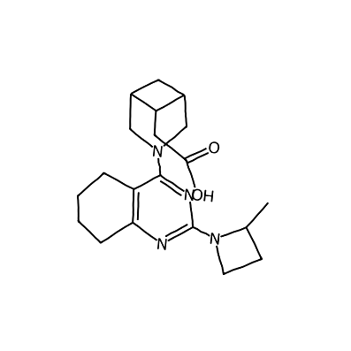 CC1CCN1c1nc2c(c(N3CC4CC(C3)C4CC(=O)O)n1)CCCC2